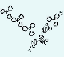 C[C@@H]1CN(S(C)(=O)=O)CCN1Cc1cc2c(=O)n(C)cc(-c3ccnc(OCC4CC4)c3)c2s1.[Pd].c1ccc(P(c2ccccc2)c2ccccc2)cc1.c1ccc(P(c2ccccc2)c2ccccc2)cc1.c1ccc(P(c2ccccc2)c2ccccc2)cc1.c1ccc(P(c2ccccc2)c2ccccc2)cc1